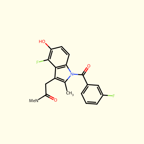 CNC(=O)Cc1c(C)n(C(=O)c2cccc(F)c2)c2ccc(O)c(F)c12